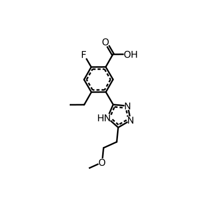 CCc1cc(F)c(C(=O)O)cc1-c1nnc(CCOC)[nH]1